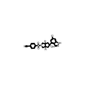 N#Cc1ccc(S(=O)(=O)N2C[C@@H]3C[C@@](O)(c4cc(Cl)cc5[nH]ncc45)C[C@@H]3C2)cc1